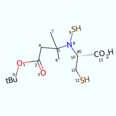 CC(C)(C)OC(=O)CC(C)(C)N(S)[C@@H](CS)C(=O)O